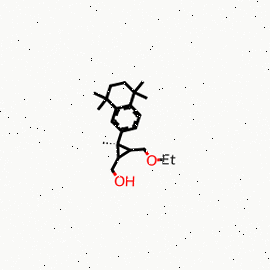 CCOCC1C(CO)[C@@]1(C)c1ccc2c(c1)C(C)(C)CCC2(C)C